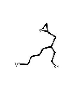 CCCCCC([CH]C1CO1)CCC